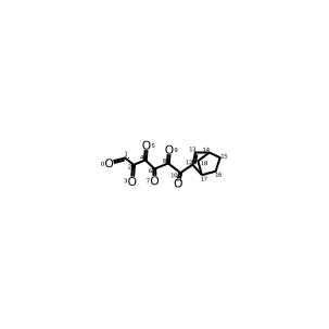 O=[C]C(=O)C(=O)C(=O)C(=O)C(=O)C1=CC2CCC1C2